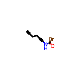 C#CCCC#CNC(=O)Br